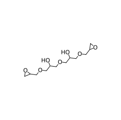 OC(COCC(O)COCC1CO1)COCC1CO1